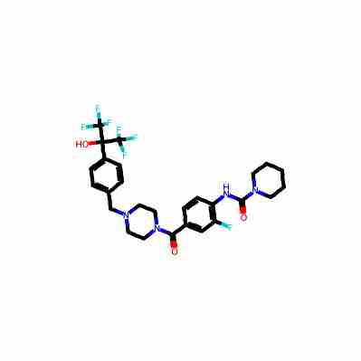 O=C(Nc1ccc(C(=O)N2CCN(Cc3ccc(C(O)(C(F)(F)F)C(F)(F)F)cc3)CC2)cc1F)N1CCCCC1